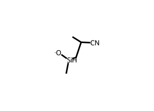 CC(C#N)C[SiH](C)[O]